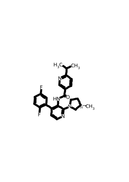 CC(C)c1ccc(C(=O)Nc2c(-c3cc(F)ccc3F)ccnc2N2CC[C@H](C)C2)cn1